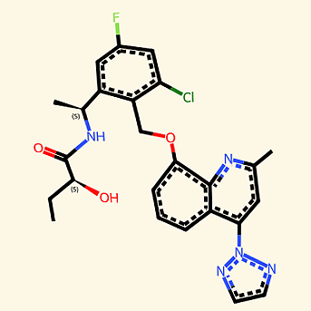 CC[C@H](O)C(=O)N[C@@H](C)c1cc(F)cc(Cl)c1COc1cccc2c(-n3nccn3)cc(C)nc12